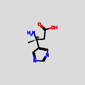 C[C@](N)(CC(=O)O)c1cncnc1